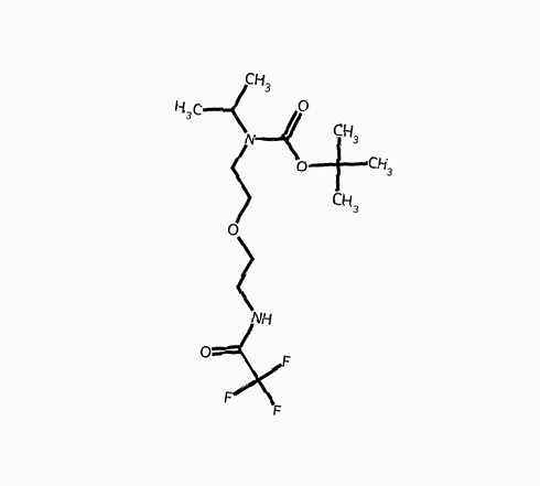 CC(C)N(CCOCCNC(=O)C(F)(F)F)C(=O)OC(C)(C)C